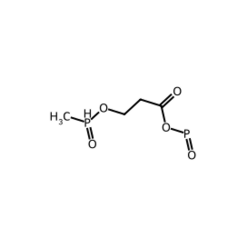 C[PH](=O)OCCC(=O)OP=O